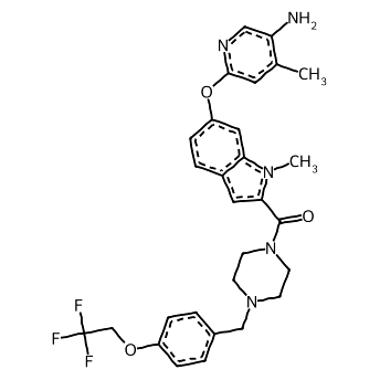 Cc1cc(Oc2ccc3cc(C(=O)N4CCN(Cc5ccc(OCC(F)(F)F)cc5)CC4)n(C)c3c2)ncc1N